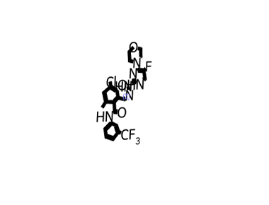 Cc1cc(Cl)c(O)c(/C=N\Nc2ncc(F)c(N3CCOCC3)n2)c1C(=O)Nc1cccc(C(F)(F)F)c1